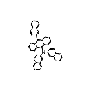 c1ccc2cc(-c3c4ccccc4c(N(c4ccc5ccccc5c4)c4ccc5ccccc5c4)c4ccccc34)ccc2c1